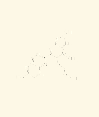 COCOc1c(-c2ncc3nc(O)ccc3n2)cc2cn(C)nc2c1C